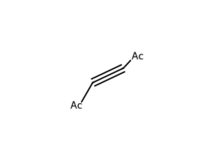 CC(=O)C#CC(C)=O